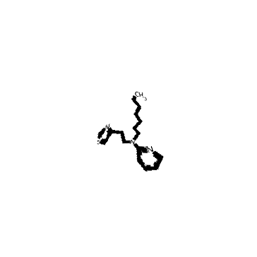 CCCCCCCN(CCc1cs[c]n1)c1ccccn1